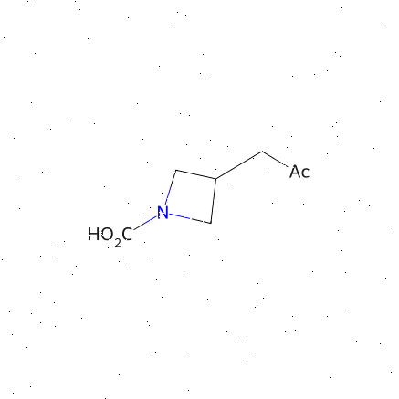 CC(=O)CC1CN(C(=O)O)C1